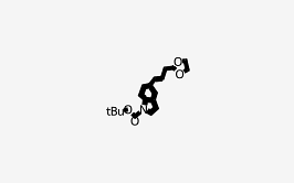 CC(C)(C)OC(=O)n1ccc2cc(C=CCC3OCCO3)ccc21